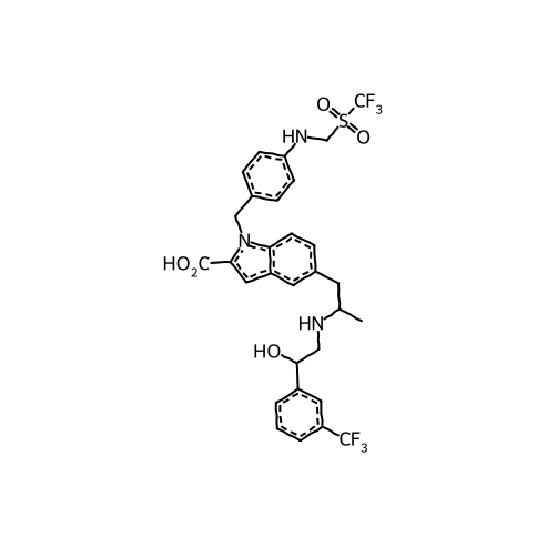 CC(Cc1ccc2c(c1)cc(C(=O)O)n2Cc1ccc(NCS(=O)(=O)C(F)(F)F)cc1)NCC(O)c1cccc(C(F)(F)F)c1